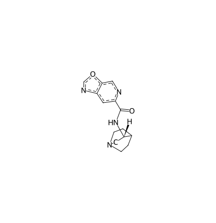 O=C(N[C@H]1CN2CCC1CC2)c1cc2ncoc2cn1